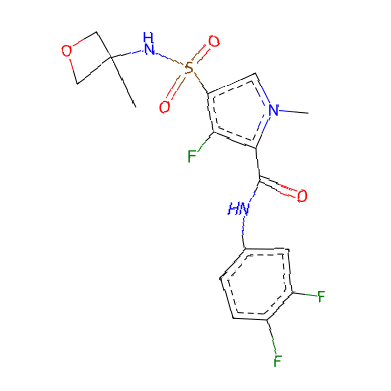 Cn1cc(S(=O)(=O)NC2(C)COC2)c(F)c1C(=O)Nc1ccc(F)c(F)c1